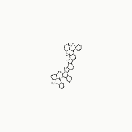 Cc1ccccc1N(c1ccc2c(c1)sc1c2ccc2c1sc1cc(N(c3ccccc3C)c3ccccc3C)c3ccccc3c12)c1ccccc1C